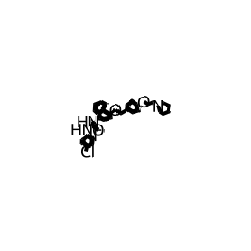 O=C(Nc1ccc(Cl)cc1F)Nc1ccc(OCc2ccc(OCCN3CCCCC3)cc2)c2ccccc12